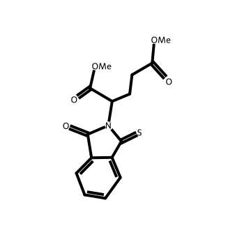 COC(=O)CCC(C(=O)OC)N1C(=O)c2ccccc2C1=S